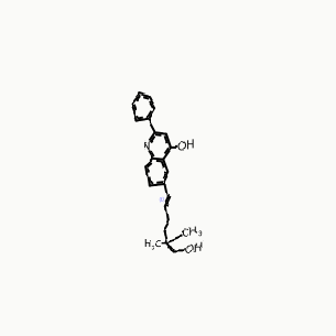 CC(C)(CO)CC/C=C/c1ccc2nc(-c3ccccc3)cc(O)c2c1